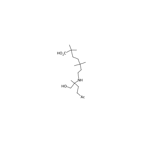 CC(=O)CCC(C)(CO)NCCC(C)(C)CCC(C)(C)C(=O)O